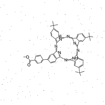 COC(=O)c1ccc(-c2ccc3c(c2)-c2nc-3nc3[nH]c(nc4nc(nc5[nH]c(n2)c2ccc(C(C)(C)C)cc52)-c2ccc(C(C)(C)C)cc2-4)c2ccc(C(C)(C)C)cc32)cc1